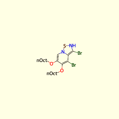 CCCCCCCCOC1=CN2SNC(Br)=C2C(Br)=C1OCCCCCCCC